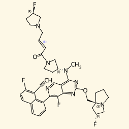 C#Cc1c(F)ccc2cccc(-c3ncc4c(N(C)[C@@H]5CCN(C(=O)/C=C/CN6CC[C@@H](F)C6)C5)nc(OC[C@@]56CCCN5C[C@H](F)C6)nc4c3F)c12